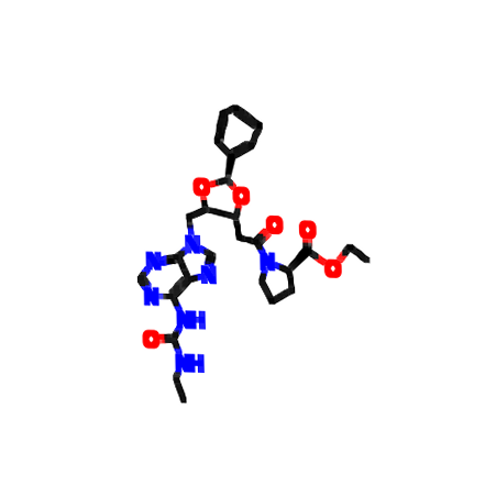 CCNC(=O)Nc1ncnc2c1ncn2CC1O[C@@H](c2ccccc2)OC1CC(=O)N1CCC[C@@H]1C(=O)OCC